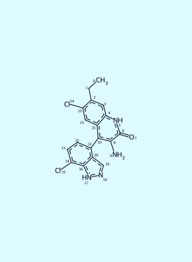 CCc1cc2[nH]c(=O)c(N)c(-c3ccc(Cl)c4[nH]ncc34)c2cc1Cl